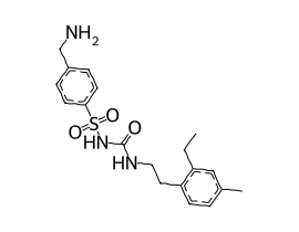 CCc1cc(C)ccc1CCNC(=O)NS(=O)(=O)c1ccc(CN)cc1